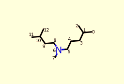 CC(C)CCCN(C)CCC(C)C